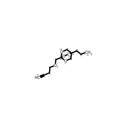 C#CCCOCC12OCC(CCC)(CO1)CO2